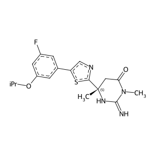 CC(C)Oc1cc(F)cc(-c2cnc([C@]3(C)CC(=O)N(C)C(=N)N3)s2)c1